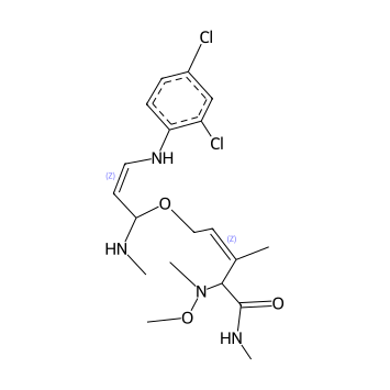 CNC(=O)C(/C(C)=C\COC(/C=C\Nc1ccc(Cl)cc1Cl)NC)N(C)OC